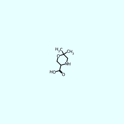 CC1(C)CNC(C(=O)O)CO1